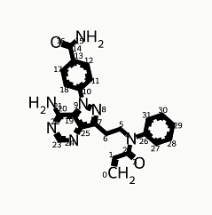 C=CC(=O)N(CCc1nn(-c2ccc(C(N)=O)cc2)c2c(N)ncnc12)c1ccccc1